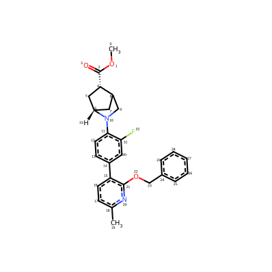 COC(=O)[C@H]1C[C@@H]2CC1CN2c1ccc(-c2ccc(C)nc2OCc2ccccc2)cc1F